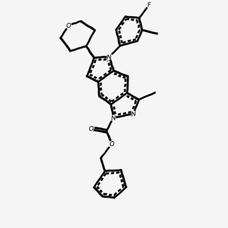 Cc1cc(-n2c(C3CCOCC3)cc3cc4c(cc32)c(C)nn4C(=O)OCc2ccccc2)ccc1F